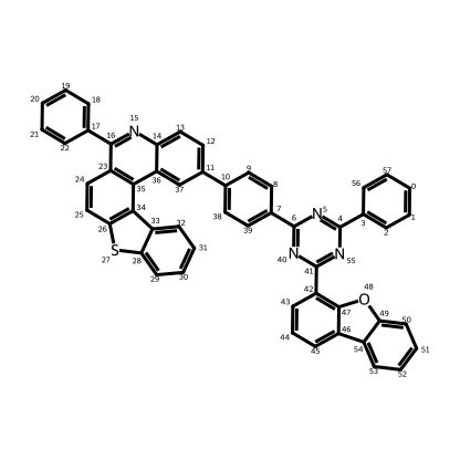 c1ccc(-c2nc(-c3ccc(-c4ccc5nc(-c6ccccc6)c6ccc7sc8ccccc8c7c6c5c4)cc3)nc(-c3cccc4c3oc3ccccc34)n2)cc1